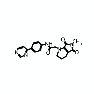 CN1C(=O)C2=C(C1=O)N(CC(=O)Nc1ccc(-c3ccncn3)cc1)CCC2